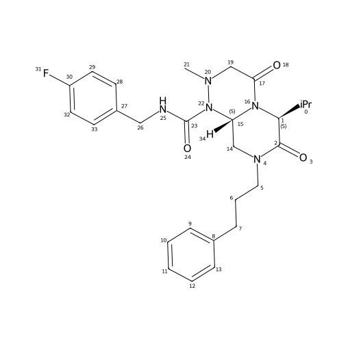 CC(C)[C@H]1C(=O)N(CCCc2ccccc2)C[C@H]2N1C(=O)CN(C)N2C(=O)NCc1ccc(F)cc1